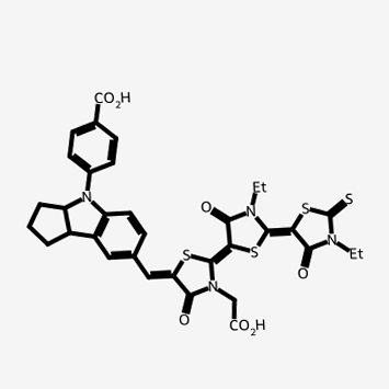 CCN1C(=O)/C(=c2\s/c(=c3/s/c(=C\c4ccc5c(c4)C4CCCC4N5c4ccc(C(=O)O)cc4)c(=O)n3CC(=O)O)c(=O)n2CC)SC1=S